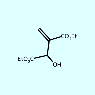 C=C(C(=O)OCC)C(O)C(=O)OCC